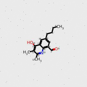 CCCCc1cc(C=O)c2nc(C)c(C)c(O)c2c1